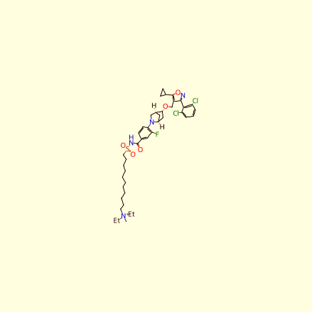 CC[N+](C)(CC)CCCCCCCCCCCS(=O)(=O)NC(=O)c1ccc(N2C[C@@H]3C[C@H]2C[C@H]3OCc2c(-c3c(Cl)cccc3Cl)noc2C2CC2)c(F)c1